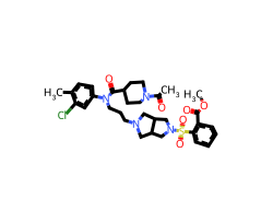 COC(=O)c1ccccc1S(=O)(=O)N1CC2CN(CCCN(C(=O)C3CCN(C(C)=O)CC3)c3ccc(C)c(Cl)c3)CC2C1